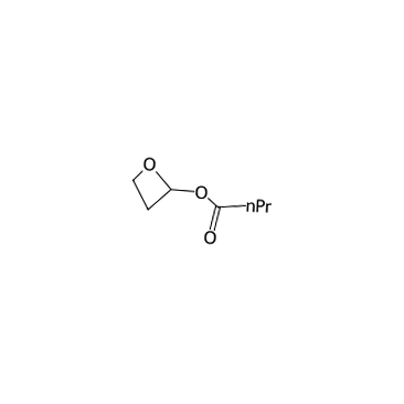 CCCC(=O)OC1CCO1